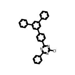 Clc1nc(-c2ccccc2)nc(-c2ccc(-c3cc(-c4ccccc4)cc(-c4ccccc4)c3)cc2)n1